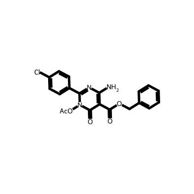 CC(=O)On1c(-c2ccc(Cl)cc2)nc(N)c(C(=O)OCc2ccccc2)c1=O